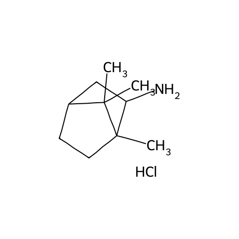 CC1(C)C2CCC1(C)C(N)C2.Cl